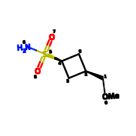 COC[C@H]1C[C@@H](S(N)(=O)=O)C1